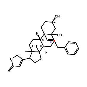 C=C1C=C(C2CCC3(O)[C@@H]4CCC5(O)C[C@H](O)CCC5(/C=N/Cc5ccccc5)[C@H]4CCC23C)CO1